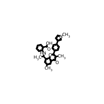 Cc1cc(C(C)Nc2ccccc2C(=O)O)c2oc(-c3ccc(-c4ccn(C)c4)cc3)c(C)c(=O)c2c1